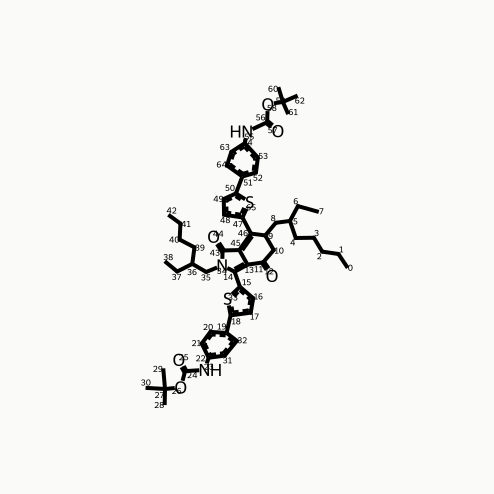 CCCCCC(CC)CC1CC(=O)C2=C(c3ccc(-c4ccc(NC(=O)OC(C)(C)C)cc4)s3)N(CC(CC)CCCC)C(=O)C2=C1c1ccc(-c2ccc(NC(=O)OC(C)(C)C)cc2)s1